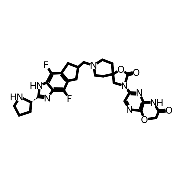 O=C1COc2ncc(N3CC4(CCN(CC5Cc6c(c(F)c7[nH]c([C@@H]8CCCN8)nc7c6F)C5)CC4)OC3=O)nc2N1